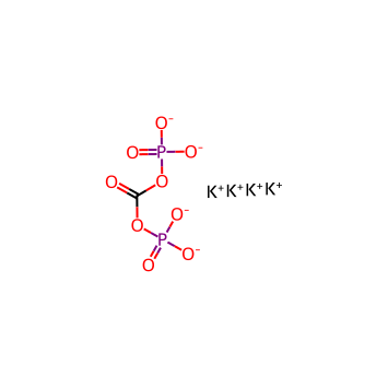 O=C(OP(=O)([O-])[O-])OP(=O)([O-])[O-].[K+].[K+].[K+].[K+]